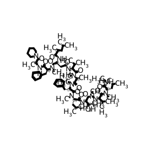 CNC(=O)[C@H](CC(C)C)N(C)C(=O)[C@@H](NN(C)C(=O)[C@@H](NC(=O)[C@H](CC(C)C)N(C)C(=O)[C@H](Cc1ccccc1)N(C)C(=O)[C@H](C)N(C)C(=O)[C@H](NC(=O)C[C@H](NC(=O)[C@@H](C)CC(C)C)C(=O)N(C)[C@@H](Cc1ccccc1)C(=O)N[C@@H](C)C(=O)N1CCCCC1)C(C)C)[C@@H](C)O)C(C)C